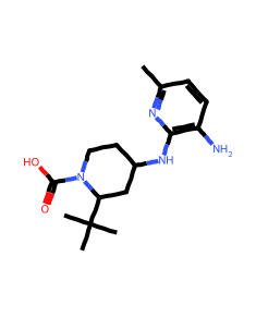 Cc1ccc(N)c(NC2CCN(C(=O)O)C(C(C)(C)C)C2)n1